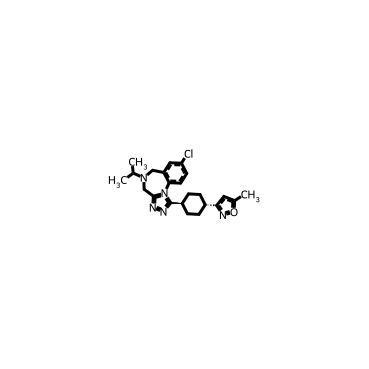 Cc1cc([C@H]2CC[C@H](c3nnc4n3-c3ccc(Cl)cc3CN(C(C)C)C4)CC2)no1